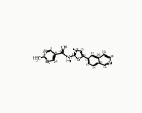 Cc1ncc(C(=O)Nc2ncc(-c3ccc4cnccc4c3)s2)cn1